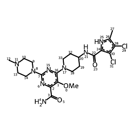 COc1c(C(N)=O)nc(N2CCN(C)CC2)nc1N1CCC(NC(=O)c2[nH]c(C)c(Cl)c2Cl)CC1